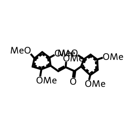 COC(=Cc1c(OC)cc(OC)cc1OC)C(=O)c1c(OC)cc(OC)cc1OC